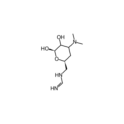 CN(C)C1C[C@@H](CNC=N)O[C@@H](O)C1O